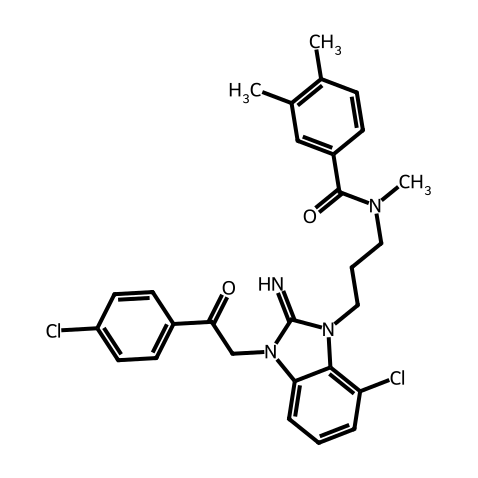 Cc1ccc(C(=O)N(C)CCCn2c(=N)n(CC(=O)c3ccc(Cl)cc3)c3cccc(Cl)c32)cc1C